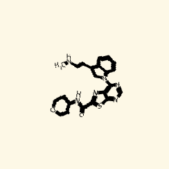 CNCCC1CN(c2ncnc3sc(C(=O)NC4CCOCC4)nc23)C2C=CC=CC12